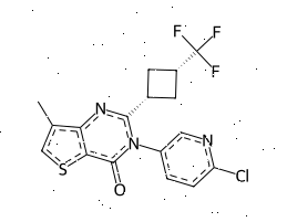 Cc1csc2c(=O)n(-c3ccc(Cl)nc3)c([C@H]3C[C@@H](C(F)(F)F)C3)nc12